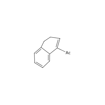 CC(=O)C1=CCCc2ccccc21